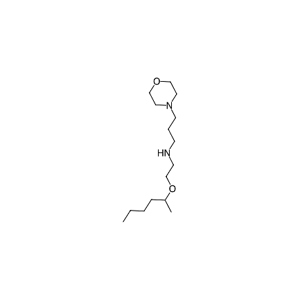 CCCCC(C)OCCNCCCN1CCOCC1